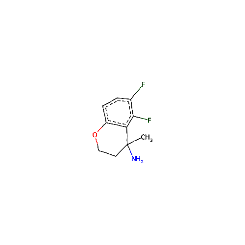 CC1(N)CCOc2ccc(F)c(F)c21